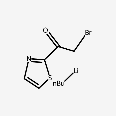 O=C(CBr)c1nccs1.[Li][CH2]CCC